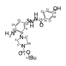 CC(C)(C)OC(=O)N1CCN(c2cc(SNNC(=O)c3ccc(O)cc3)ccc2N)CC1